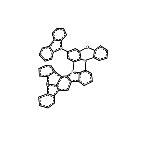 c1ccc2c(c1)Oc1cc(-n3c4ccccc4c4ccccc43)cc3c1B2c1cccc2c4cc5c6ccccc6n6c7ccccc7c(c4n-3c12)c56